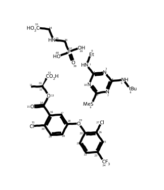 CCNc1nc(NC(C)(C)C)nc(SC)n1.C[C@H](OC(=O)c1cc(Oc2ccc(C(F)(F)F)cc2Cl)ccc1Cl)C(=O)O.O=C(O)CNCP(=O)(O)O